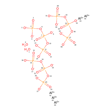 O.O.O=P([O-])([O-])OP(=O)([O-])OP(=O)([O-])[O-].O=P([O-])([O-])OP(=O)([O-])OP(=O)([O-])[O-].O=P([O-])([O-])OP(=O)([O-])OP(=O)([O-])[O-].[Al+3].[Al+3].[Al+3].[Al+3].[Al+3]